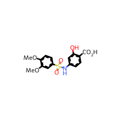 COc1ccc(S(=O)(=O)Nc2ccc(C(=O)O)c(O)c2)cc1OC